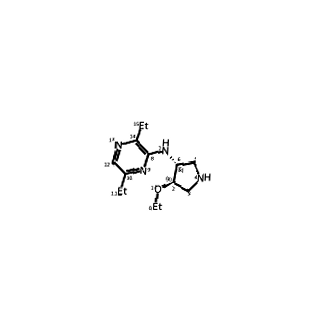 CCO[C@@H]1CNC[C@H]1Nc1nc(CC)cnc1CC